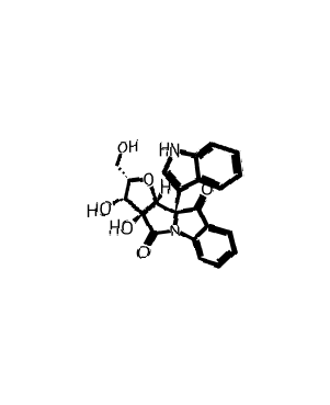 O=C1N2c3ccccc3C(=O)[C@@]2(c2c[nH]c3ccccc23)[C@H]2O[C@@H](CO)[C@H](O)[C@@]12O